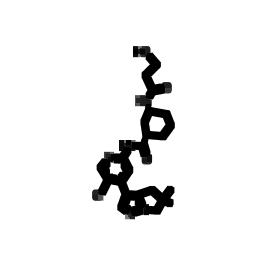 CC1(C)Cc2c(-c3cc(NC(=O)[C@@H]4CCC[C@@H](NC(=O)CCO)C4)ncc3Cl)cnn2C1